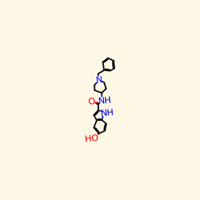 O=C(NC1CCN(Cc2ccccc2)CC1)c1cc2cc(O)ccc2[nH]1